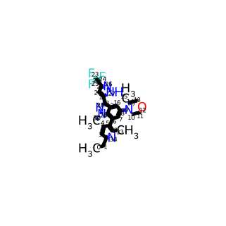 CCc1ccc(-c2cc(N3CCOC[C@H]3C)cc3c(-c4cc(C(F)(F)F)n[nH]4)nn(C)c23)c(C)n1